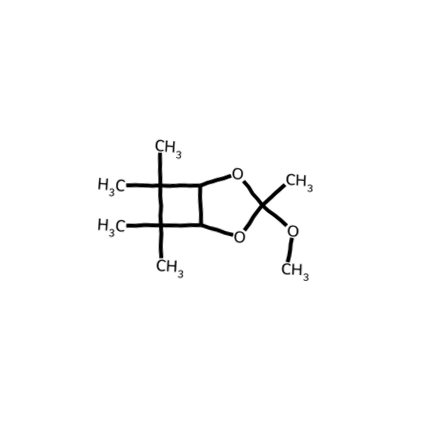 COC1(C)OC2C(O1)C(C)(C)C2(C)C